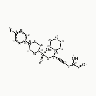 O=CN(O)CC#CC(CS(=O)(=O)N1CCN(c2ccc(F)cc2)CC1)N1CCOCC1